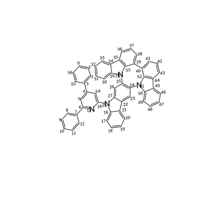 c1ccc(-c2cc(-c3ccccc3)nc(-n3c4ccccc4c4cc5c(cc43)n3c4ccccc4c4cccc(c6cccc7c8ccccc8n5c76)c43)c2)cc1